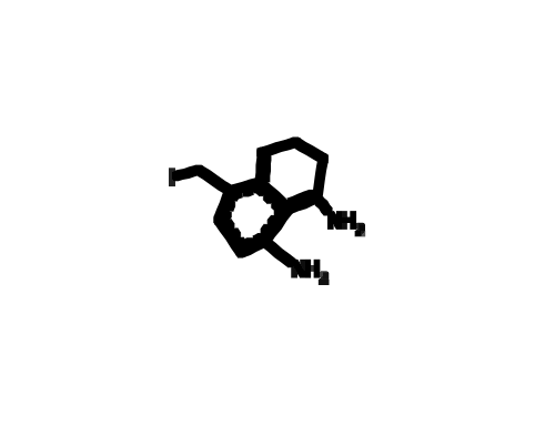 NC1=c2c(N)ccc(CI)c2=CCC1